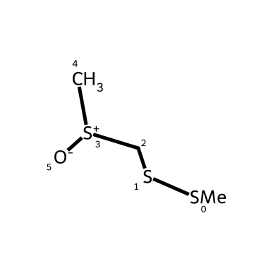 CSSC[S+](C)[O-]